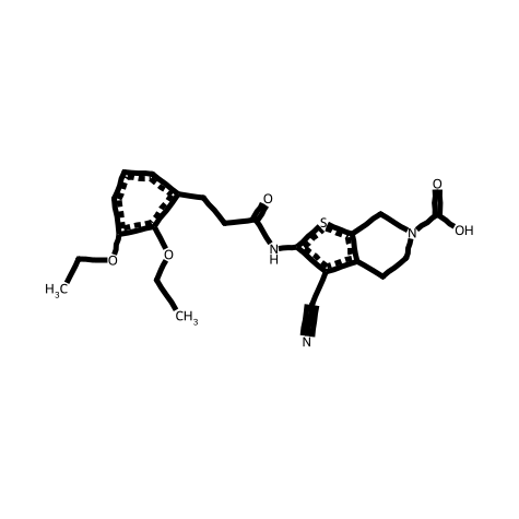 CCOc1cccc(CCC(=O)Nc2sc3c(c2C#N)CCN(C(=O)O)C3)c1OCC